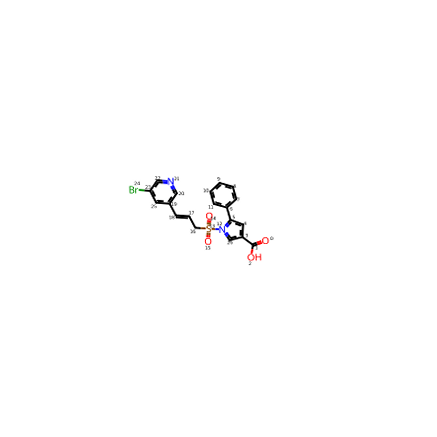 O=C(O)c1cc(-c2ccccc2)n(S(=O)(=O)CC=Cc2cncc(Br)c2)c1